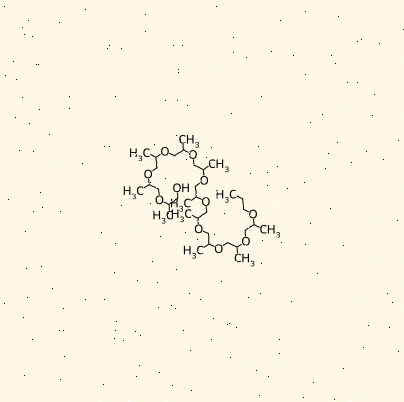 CCCOC(C)COC(C)COC(C)COC(C)COC(C)COC(C)COC(C)COC(C)COC(C)COC(C)CO